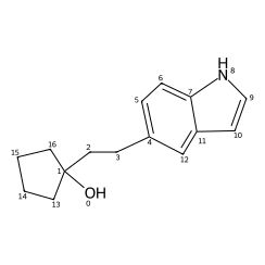 OC1(CCc2ccc3[nH]ccc3c2)CCCC1